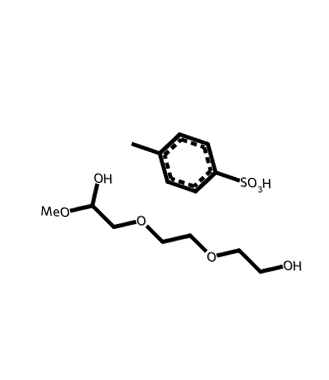 COC(O)COCCOCCO.Cc1ccc(S(=O)(=O)O)cc1